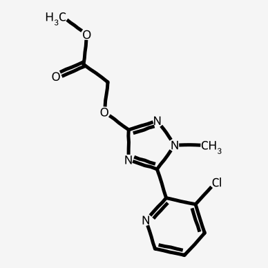 COC(=O)COc1nc(-c2ncccc2Cl)n(C)n1